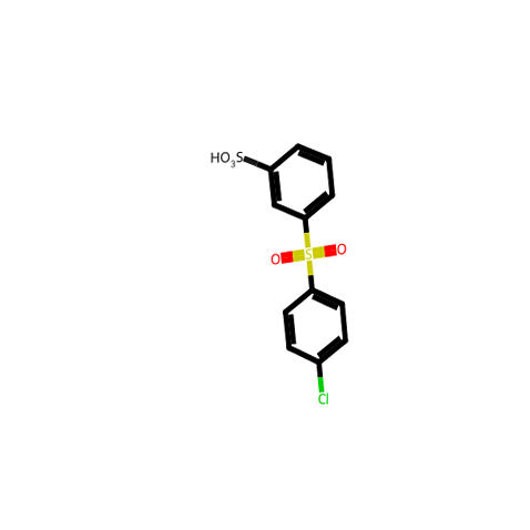 O=S(=O)(O)c1cccc(S(=O)(=O)c2ccc(Cl)cc2)c1